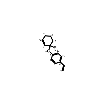 C=Cc1ccc(OC2(CC)C=CCCC2)cc1